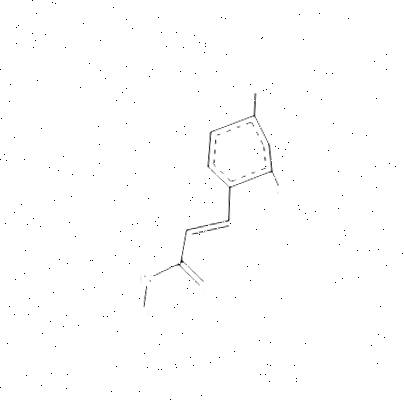 O=C(C=Cc1ccc(F)cc1Cl)NO